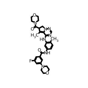 CC1=C2C(Nc3cc(NC(=O)c4cc(F)cc(N5CCOCC5)c4)ccc3C)=NC=NN2CC1C(=O)N1CCOCC1